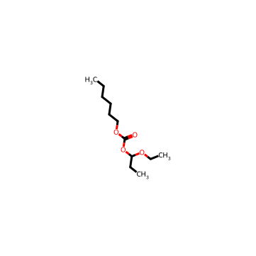 CCCCCCOC(=O)OC(CC)OCC